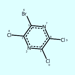 Clc1nc(Cl)c(Br)nc1Cl